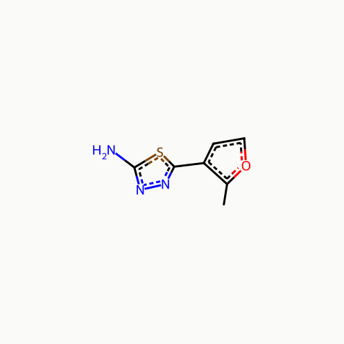 Cc1occc1-c1nnc(N)s1